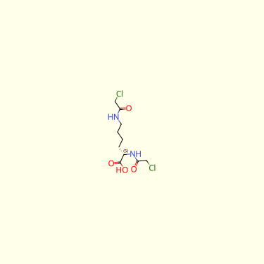 O=C(CCl)NCCCC[C@H](NC(=O)CCl)C(=O)O